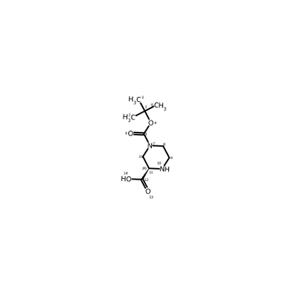 CC(C)(C)OC(=O)N1CCN[C@@H](C(=O)O)C1